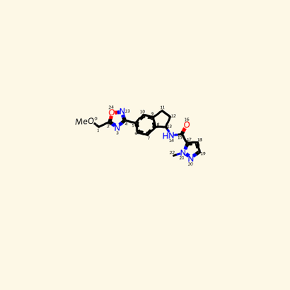 COCc1nc(-c2ccc3c(c2)CCC3NC(=O)c2ccnn2C)no1